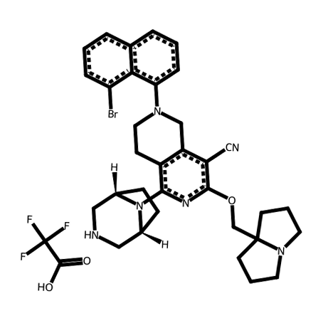 N#Cc1c(OCC23CCCN2CCC3)nc(N2[C@@H]3CC[C@H]2CNC3)c2c1CN(c1cccc3cccc(Br)c13)CC2.O=C(O)C(F)(F)F